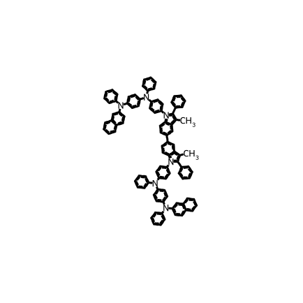 Cc1c(-c2ccccc2)n(-c2ccc(N(c3ccccc3)c3ccc(N(c4ccccc4)c4ccc5ccccc5c4)cc3)cc2)c2ccc(-c3ccc4c(c3)c(C)c(-c3ccccc3)n4-c3ccc(N(c4ccccc4)c4ccc(N(c5ccccc5)c5ccc6ccccc6c5)cc4)cc3)cc12